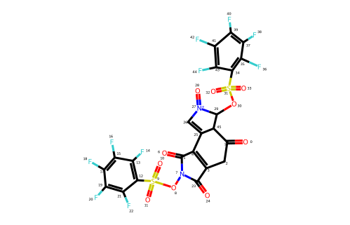 O=C1CC2=C(C(=O)N(OS(=O)(=O)c3c(F)c(F)c(F)c(F)c3F)C2=O)C2=C[N+](=O)C(OS(=O)(=O)c3c(F)c(F)c(F)c(F)c3F)C12